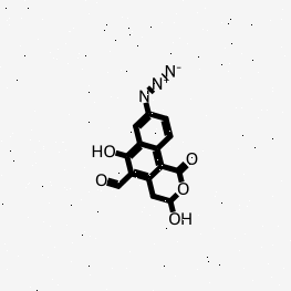 [N-]=[N+]=Nc1ccc2c3c(c(C=O)c(O)c2c1)CC(O)OC3=O